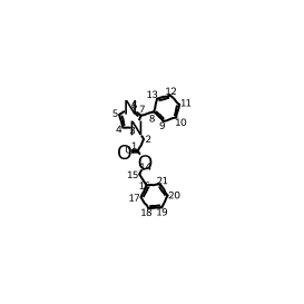 O=C(Cn1ccnc1-c1ccccc1)OCc1ccccc1